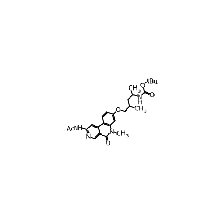 CC(=O)Nc1cc2c(cn1)c(=O)n(C)c1cc(OCC(C)CC(C)NC(=O)OC(C)(C)C)ccc21